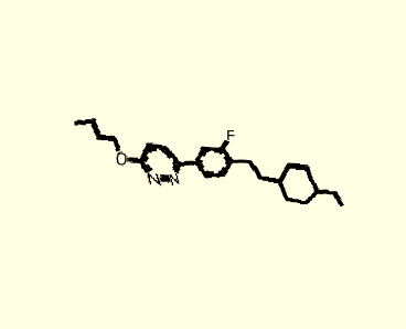 CCCCOc1ccc(-c2ccc(CCC3CCC(CC)CC3)c(F)c2)nn1